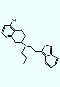 CCCN(CCc1scc2ccccc12)C1CCc2c(O)cccc2C1